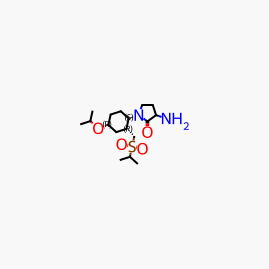 CC(C)O[C@@H]1CC[C@H](N2CCC(N)C2=O)[C@H](CS(=O)(=O)C(C)C)C1